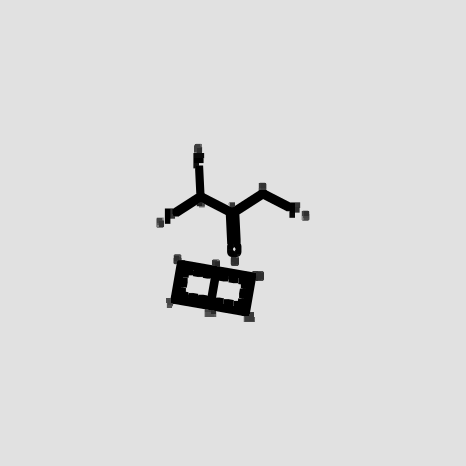 O=C(CF)C(F)F.c1cc2ccc1-2